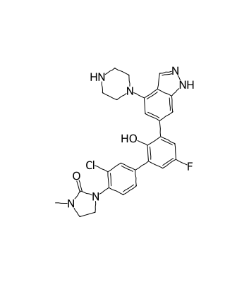 CN1CCN(c2ccc(-c3cc(F)cc(-c4cc(N5CCNCC5)c5cn[nH]c5c4)c3O)cc2Cl)C1=O